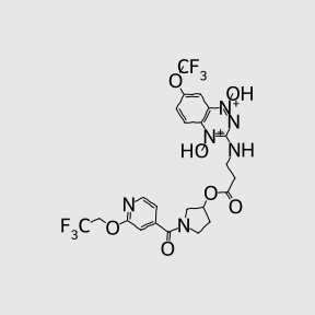 O=C(CCNc1n[n+](O)c2cc(OC(F)(F)F)ccc2[n+]1O)OC1CCN(C(=O)c2ccnc(OCC(F)(F)F)c2)C1